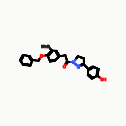 COc1cc(CC(=O)N2CCC(c3ccc(O)cc3)=N2)ccc1OCc1ccccc1